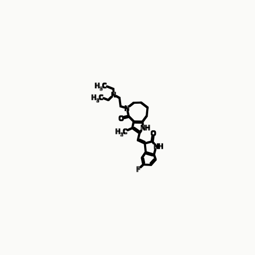 CCN(CC)CCN1CCCCc2[nH]c(C=C3C(=O)Nc4ccc(F)cc43)c(C)c2C1=O